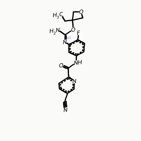 CCC1(O/C(N)=N\c2cc(NC(=O)c3ccc(C#N)cn3)ccc2F)COC1